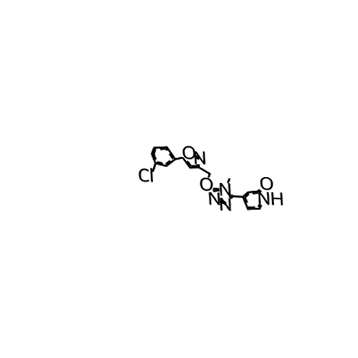 Cn1c(OCc2cc(-c3cccc(Cl)c3)on2)nnc1-c1cc[nH]c(=O)c1